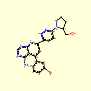 Nc1ncnc2nc(-c3ccc(N4CCCC4CO)nn3)cc(-c3cccc(Br)c3)c12